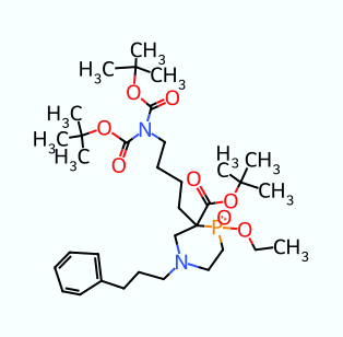 CCOP1(=O)CCN(CCCc2ccccc2)CC1(CCCCN(C(=O)OC(C)(C)C)C(=O)OC(C)(C)C)C(=O)OC(C)(C)C